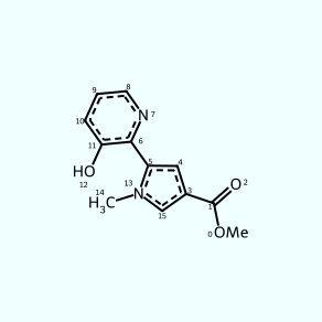 COC(=O)c1cc(-c2ncccc2O)n(C)c1